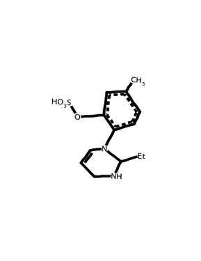 CCC1NCC=CN1c1ccc(C)cc1OS(=O)(=O)O